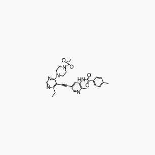 CCc1ncnc(N2CCN(S(C)(=O)=O)CC2)c1C#Cc1cnc(C)c(NS(=O)(=O)c2ccc(C)cc2)c1